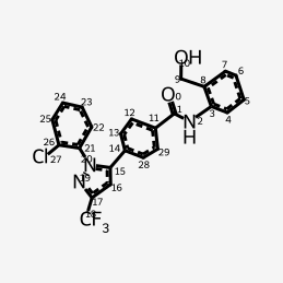 O=C(Nc1ccccc1CO)c1ccc(-c2cc(C(F)(F)F)nn2-c2ccccc2Cl)cc1